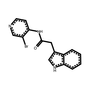 O=C(Cc1c[nH]c2ccccc12)Nc1ccncc1Br